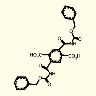 O=C(NC(=O)c1cc(C(=O)O)c(C(=O)NC(=O)OCc2ccccc2)cc1C(=O)O)OCc1ccccc1